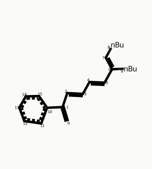 C=C(C=CC=CC(=CCCCC)CCCC)c1ccccc1